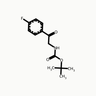 CC(C)(C)OC(=O)NCC(=O)c1ccc(F)cc1